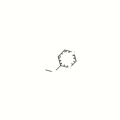 COc1ccncn1.I